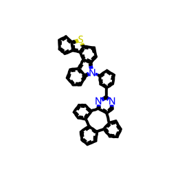 c1cc(-c2ncc3c(n2)-c2ccccc2-c2ccccc2-c2ccccc2-3)cc(-n2c3ccccc3c3c4c(ccc32)sc2ccccc24)c1